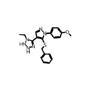 CCN1NNN=C1c1cnn(-c2ccc(OC)cc2)c1SCc1ccccc1